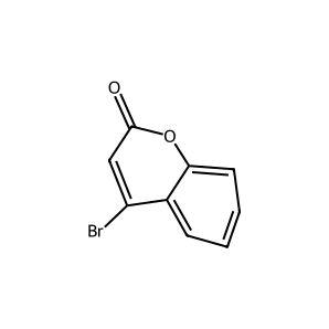 O=c1cc(Br)c2ccccc2o1